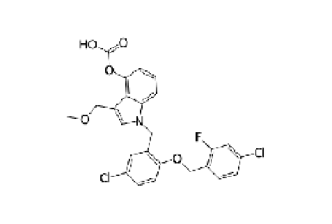 COCc1cn(Cc2cc(Cl)ccc2OCc2ccc(Cl)cc2F)c2cccc(OC(=O)O)c12